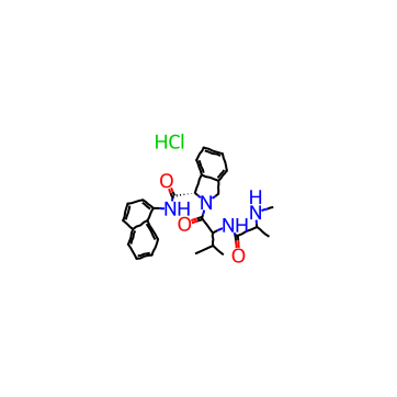 CNC(C)C(=O)NC(C(=O)N1Cc2ccccc2[C@H]1C(=O)Nc1cccc2ccccc12)C(C)C.Cl